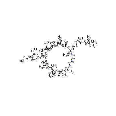 CO[C@@H]1C[C@H](C[C@@H](C)[C@@H]2CC(=O)[C@H](C)/C=C(\C)[C@@H](O)[C@@H](OC)C(=O)[C@H](C)C[C@H](C)/C=C/C=C/C=C(\C)C(OCCCC(O)OCC[Si](C)(C)C)C[C@@H]3CC[C@@H](C)[C@@](O)(O3)C(=O)C(=O)N3CCCC[C@H]3C(=O)O2)CC[C@H]1OCCO